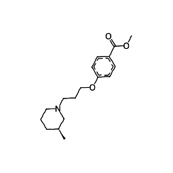 COC(=O)c1ccc(OCCCN2CCC[C@H](C)C2)cc1